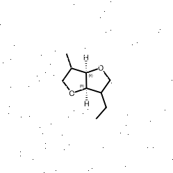 CCC1CO[C@@H]2C(C)CO[C@H]12